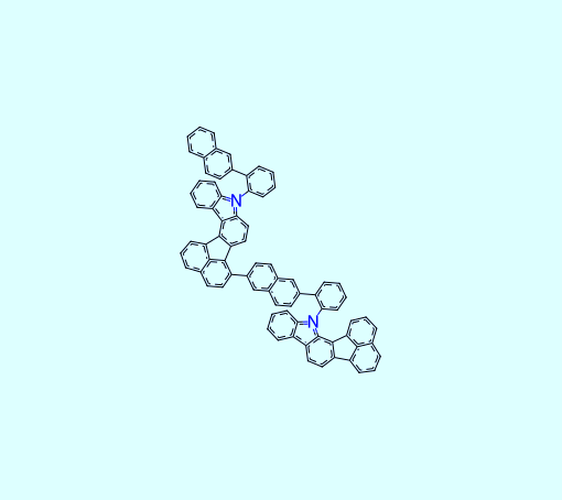 c1ccc(-n2c3ccccc3c3c4c(ccc32)-c2c(-c3ccc5cc(-c6ccccc6-n6c7ccccc7c7ccc8c(c76)-c6cccc7cccc-8c67)ccc5c3)ccc3cccc-4c23)c(-c2ccc3ccccc3c2)c1